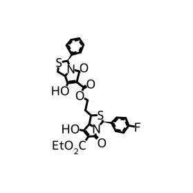 CCOC(=O)C1=C(O)C2C(CCOC(=O)C3=C(O)C4CS[C@@H](c5ccccc5)N4C3=O)S[C@@H](c3ccc(F)cc3)N2C1=O